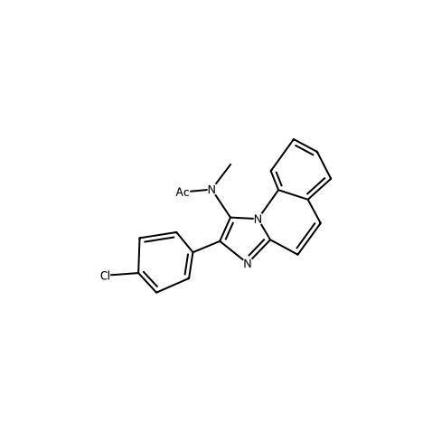 CC(=O)N(C)c1c(-c2ccc(Cl)cc2)nc2ccc3ccccc3n12